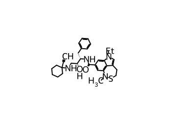 C#CC1(NC[C@@H](O)[C@H](Cc2ccccc2)NC(=O)c2cc3c4c(cn(CC)c4c2)CCSN3C)CCCCC1